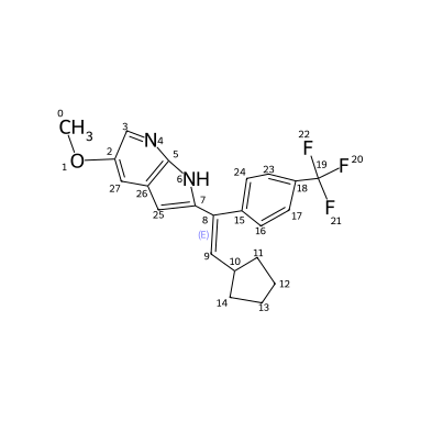 COc1cnc2[nH]c(/C(=C/C3CCCC3)c3ccc(C(F)(F)F)cc3)cc2c1